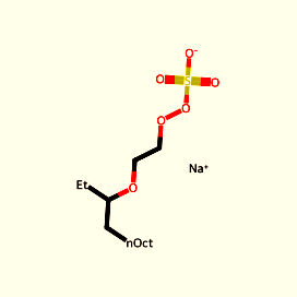 CCCCCCCCCC(CC)OCCOOS(=O)(=O)[O-].[Na+]